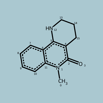 Cn1c(=O)c2c(c3ccccc31)NCCC2